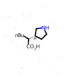 CCCCC(C(=O)O)[C@H]1CCNC1